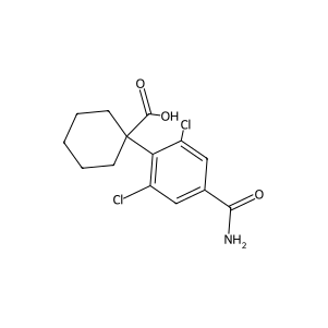 NC(=O)c1cc(Cl)c(C2(C(=O)O)CCCCC2)c(Cl)c1